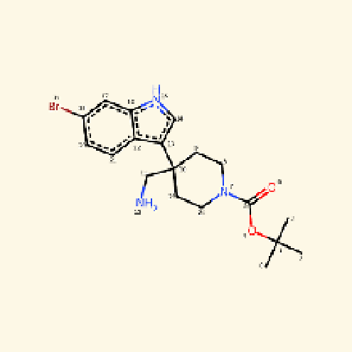 CC(C)(C)OC(=O)N1CCC(CN)(c2c[nH]c3cc(Br)ccc23)CC1